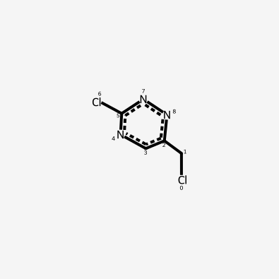 ClCc1cnc(Cl)nn1